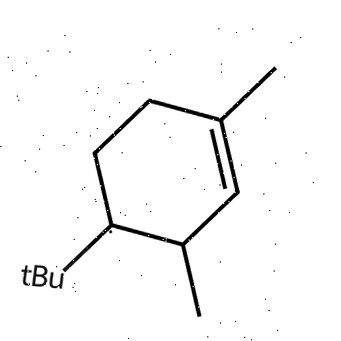 CC1=CC(C)[C](C(C)(C)C)CC1